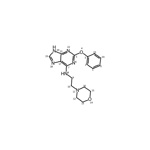 c1ccc(Oc2nc(NCCN3CCOCC3)c3nc[nH]c3n2)cc1